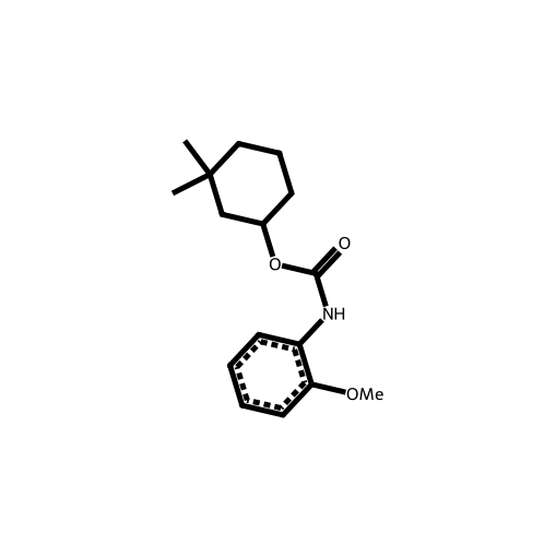 COc1ccccc1NC(=O)OC1CCCC(C)(C)C1